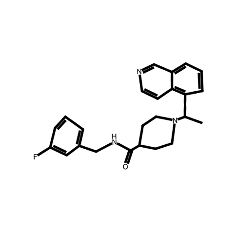 CC(c1cccc2cnccc12)N1CCC(C(=O)NCc2cccc(F)c2)CC1